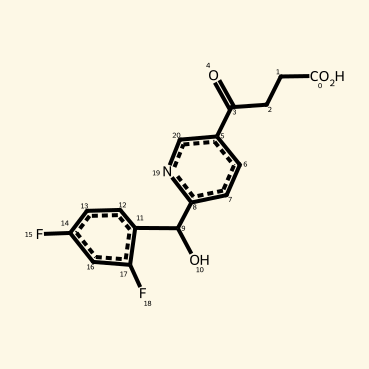 O=C(O)CCC(=O)c1ccc(C(O)c2ccc(F)cc2F)nc1